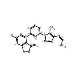 B/C=C\C1=C(C(F)(F)F)N(c2cccc(-c3cc(C)cc4c3C(=C)CC4)n2)NC1